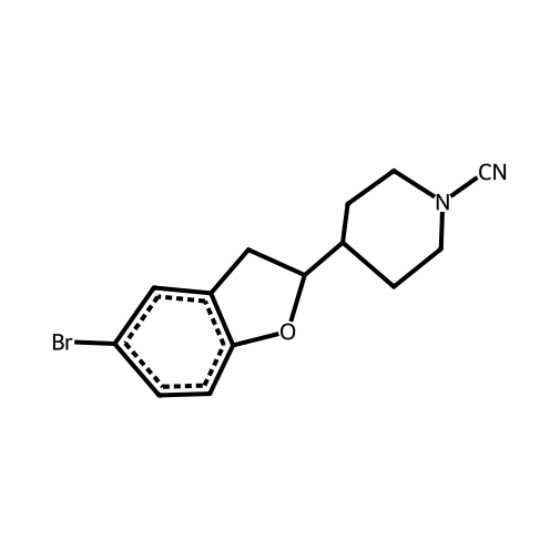 N#CN1CCC(C2Cc3cc(Br)ccc3O2)CC1